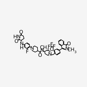 CN(C(=O)C1CCN(c2ccc(NC3CCC(=O)NC3=O)cc2F)CC1)C1CCN(Cc2ccc(-c3cn(C)c(=O)c4ccccc34)cc2OC(F)(F)F)CC1